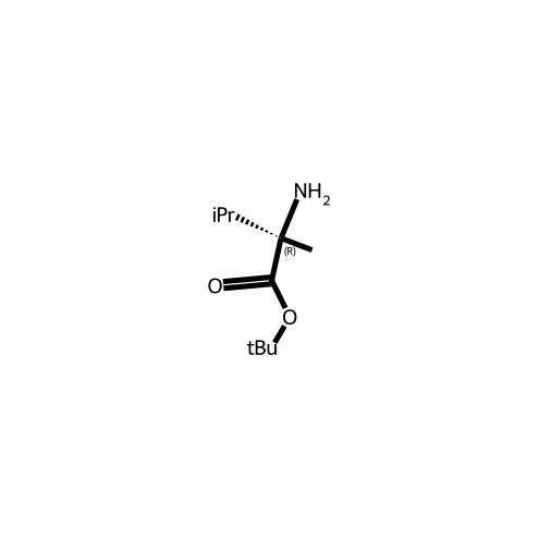 CC(C)[C@@](C)(N)C(=O)OC(C)(C)C